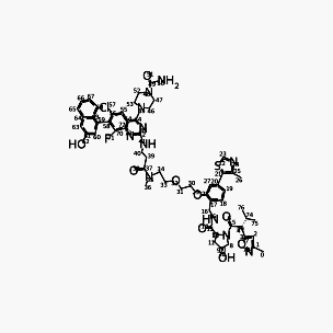 Cc1cc([C@H](C(=O)N2C[C@H](O)C[C@H]2C(=O)NCc2ccc(-c3scnc3C)cc2OCCOCCN(C)C(=O)CCNc2nc(N3CCN(C(N)=O)CC3)c3cc(Cl)c(-c4cc(O)cc5ccccc45)c(F)c3n2)C(C)C)on1